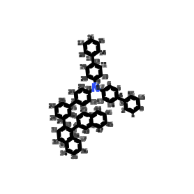 c1ccc(-c2ccc(N(c3ccc(-c4ccccc4)cc3)c3ccc(-c4cccc(-c5ccc6ccccc6c5-c5ccc6ccccc6c5)c4)cc3)cc2)cc1